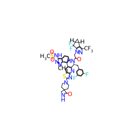 Cn1nc(NS(C)(=O)=O)c2cccc(-c3cc4sc(N5CCC6(CC5)CNC6=O)nc4nc3[C@H](Cc3cc(F)cc(F)c3)NC(=O)Cn3nc(C(F)(F)F)c4c3C(F)(F)[C@@H]3C[C@H]43)c21